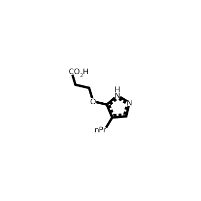 CCCc1cn[nH]c1OCCC(=O)O